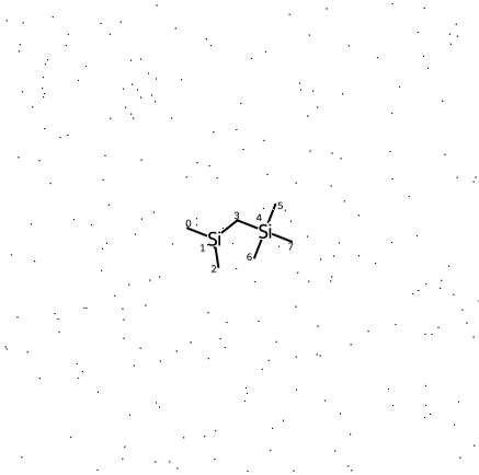 C[Si](C)C[Si](C)(C)C